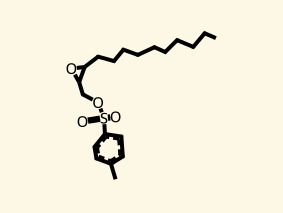 CCCCCCCCCCC1OC1COS(=O)(=O)c1ccc(C)cc1